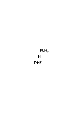 F.I.[PbH2].[Tl]